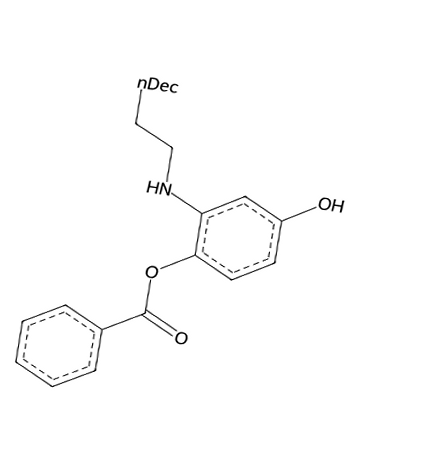 CCCCCCCCCCCCNc1cc(O)ccc1OC(=O)c1ccccc1